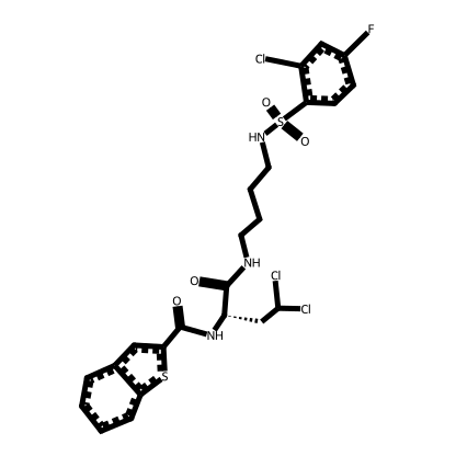 O=C(N[C@@H](CC(Cl)Cl)C(=O)NCCCCNS(=O)(=O)c1ccc(F)cc1Cl)c1cc2ccccc2s1